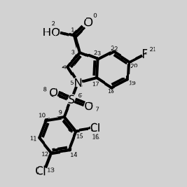 O=C(O)c1cn(S(=O)(=O)c2ccc(Cl)cc2Cl)c2ccc(F)cc12